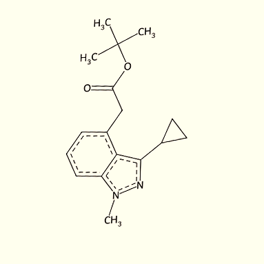 Cn1nc(C2CC2)c2c(CC(=O)OC(C)(C)C)cccc21